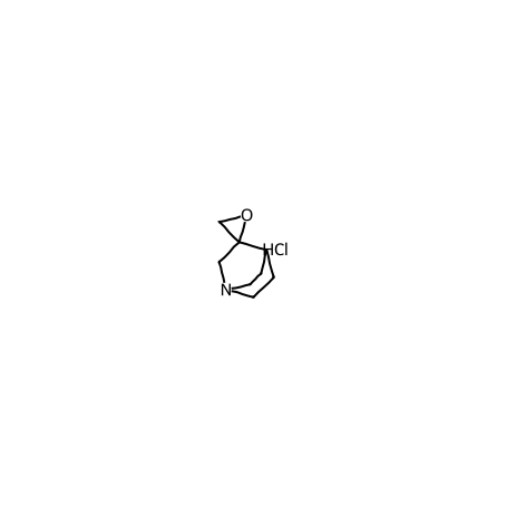 C1CN2CCC1C1(CO1)C2.Cl